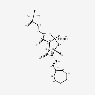 CC(C)(C)C(=O)OCOC(=O)[C@@H]1N2C(=O)[C@@H](N=CN3CCCCCC3)[C@H]2SC1(C)C.Cl.[NaH]